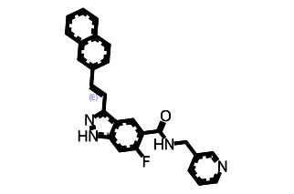 O=C(NCc1cccnc1)c1cc2c(/C=C/c3ccc4ccccc4c3)n[nH]c2cc1F